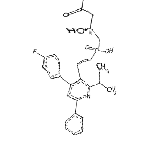 CC(C)c1nc(-c2ccccc2)cc(-c2ccc(F)cc2)c1C=CP(=O)(O)C[C@@H](O)CC(=O)O